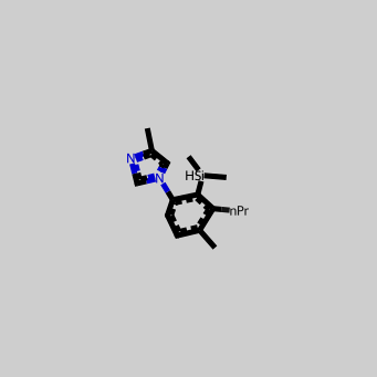 CCCc1c(C)ccc(-n2cnc(C)c2)c1[SiH](C)C